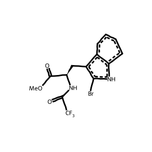 COC(=O)[C@@H](Cc1c(Br)[nH]c2ccccc12)NC(=O)C(F)(F)F